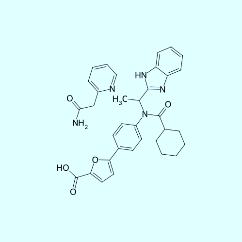 CC(c1nc2ccccc2[nH]1)N(C(=O)C1CCCCC1)c1ccc(-c2ccc(C(=O)O)o2)cc1.NC(=O)Cc1ccccn1